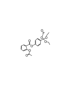 CCOC(OCC)(OP=O)c1ccc(OC(=O)c2ccccc2OC(C)=O)cc1